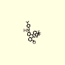 CC(C)c1ccc(CNc2cccc(-c3c(-c4ccccc4C=O)cnc4c(C(F)(F)F)cccc34)c2)cc1